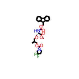 C=C(COC[C@H](NC(=O)OCC1c2ccccc2-c2ccccc21)C(=O)OC)COC(=O)N1CCC(F)(F)C1